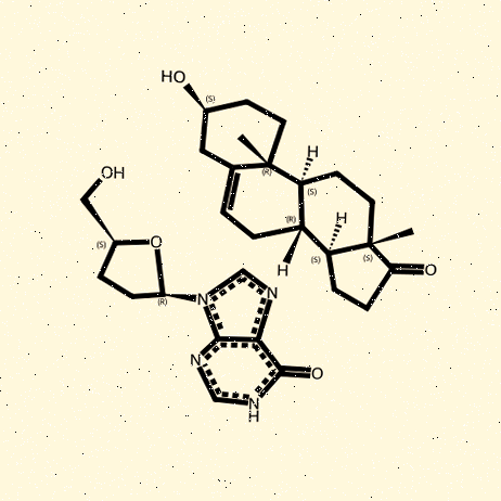 C[C@]12CC[C@H](O)CC1=CC[C@@H]1[C@@H]2CC[C@]2(C)C(=O)CC[C@@H]12.O=c1[nH]cnc2c1ncn2[C@H]1CC[C@@H](CO)O1